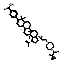 C=C(C)[C@@H]1CC[C@]2(NCCN3CCN(C(=O)C4(C)CC4)CC3)CC[C@]3(C)[C@H](CCC4[C@@]5(C)CC=C(c6ccc(C(=O)O)cc6)C(C)(C)C5CC[C@]43C)C12